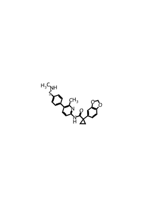 CNSc1ccc(-c2ccc(NC(=O)C3(c4ccc5c(c4)OCO5)CC3)nc2C)cc1